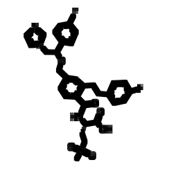 CS(=O)(=O)CC[C@H](NC(=O)c1ccc(COC(Cn2ccnc2)c2ccc(F)cc2)cc1CCc1ccc(F)cc1)C(=O)O